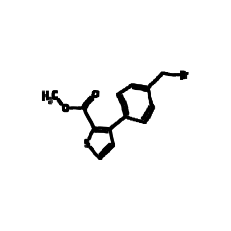 COC(=O)c1sccc1-c1ccc(CBr)cc1